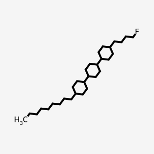 CCCCCCCCCC1CCC(C2CCC(C3CCC(CCCCF)CC3)CC2)CC1